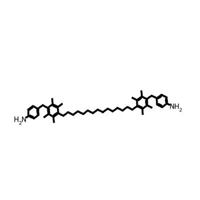 Cc1c(C)c(Cc2ccc(N)cc2)c(C)c(C)c1CCCCCCCCCCCCCCCc1c(C)c(C)c(Cc2ccc(N)cc2)c(C)c1C